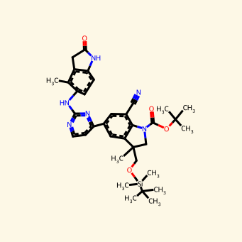 Cc1c(Nc2nccc(-c3cc(C#N)c4c(c3)C(C)(CO[Si](C)(C)C(C)(C)C)CN4C(=O)OC(C)(C)C)n2)ccc2c1CC(=O)N2